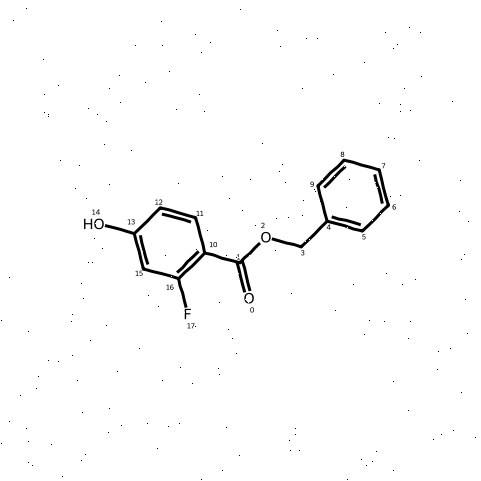 O=C(OCc1ccccc1)c1ccc(O)cc1F